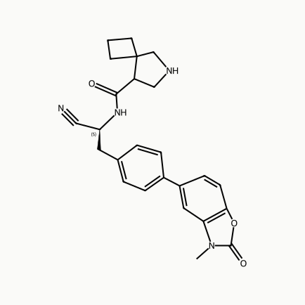 Cn1c(=O)oc2ccc(-c3ccc(C[C@@H](C#N)NC(=O)C4CNCC45CCC5)cc3)cc21